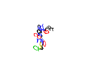 CC(C)CC(=O)Nc1cc(N2C[C@@H](CNC(=O)c3ccc(Cl)s3)OC2=O)ccc1N1CCCCC1